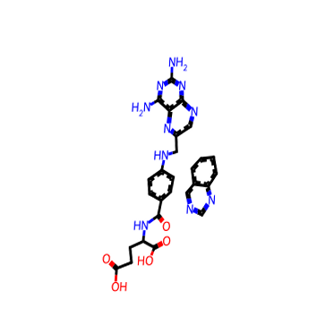 Nc1nc(N)c2nc(CNc3ccc(C(=O)NC(CCC(=O)O)C(=O)O)cc3)cnc2n1.c1ccc2ncncc2c1